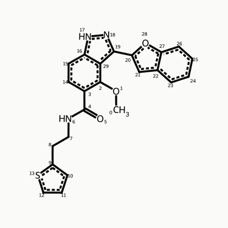 COc1c(C(=O)NCCc2cccs2)ccc2[nH]nc(-c3cc4ccccc4o3)c12